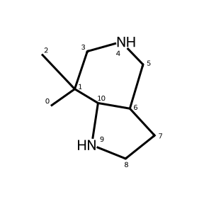 CC1(C)CNCC2CCNC21